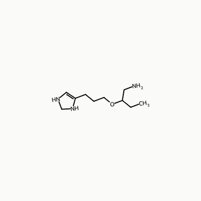 CCC(CN)OCCCC1=CNCN1